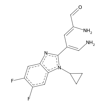 N/C=C(\C=C(/N)C=O)c1nc2cc(F)c(F)cc2n1C1CC1